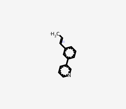 [CH2]/C=C/c1cccc(-c2cccnc2)c1